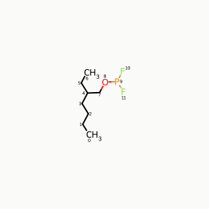 CCCCC(CC)COP(F)F